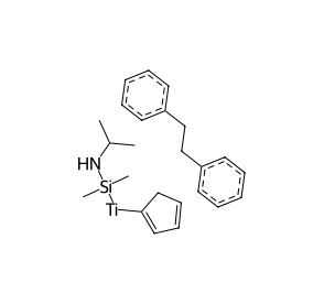 CC(C)N[Si](C)(C)[Ti][C]1=CC=CC1.c1ccc(CCc2ccccc2)cc1